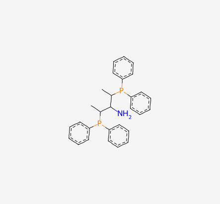 CC(C(N)C(C)P(c1ccccc1)c1ccccc1)P(c1ccccc1)c1ccccc1